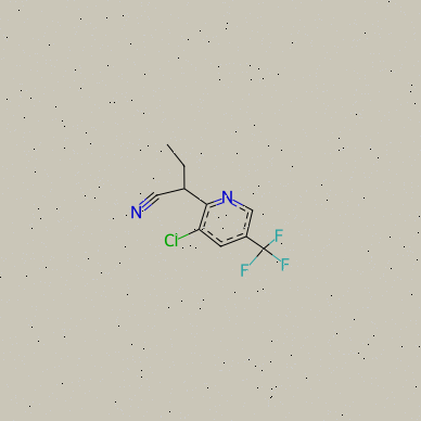 CCC(C#N)c1ncc(C(F)(F)F)cc1Cl